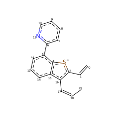 C=Cc1sc2c(-c3ccccn3)cccc2c1/C=C\C